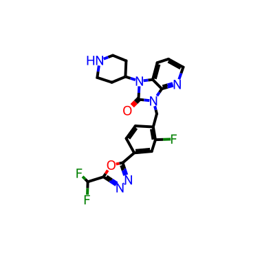 O=c1n(Cc2ccc(-c3nnc(C(F)F)o3)cc2F)c2ncccc2n1C1CCNCC1